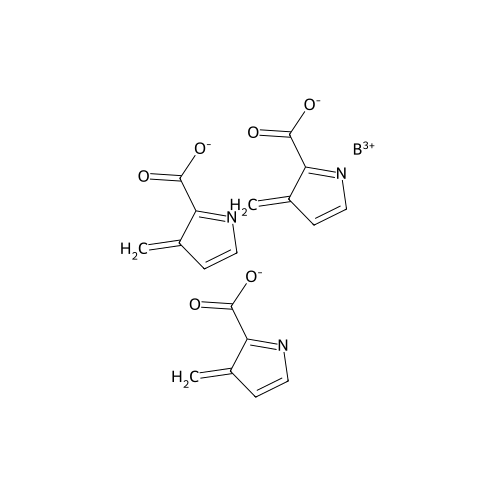 C=C1C=CN=C1C(=O)[O-].C=C1C=CN=C1C(=O)[O-].C=C1C=CN=C1C(=O)[O-].[B+3]